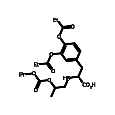 CCC(=O)Oc1ccc(C[C@H](NCC(C)OC(=O)OC(C)C)C(=O)O)cc1OC(=O)CC